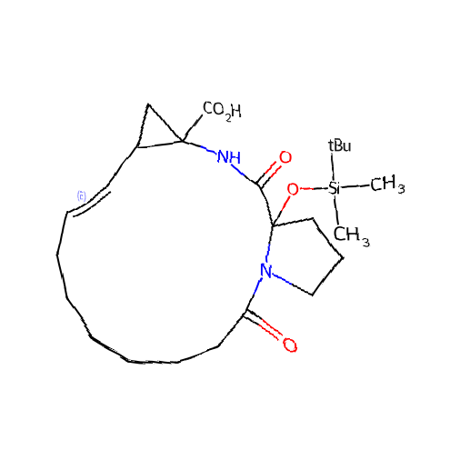 CC(C)(C)[Si](C)(C)OC12CCCN1C(=O)CCCCCC/C=C/C1CC1(C(=O)O)NC2=O